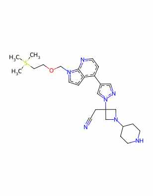 CS(C)(C)CCOCn1ccc2c(-c3cnn(C4(CC#N)CN(C5CCNCC5)C4)c3)ccnc21